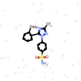 COc1ccccc1-c1nc(C(F)(F)F)nn1-c1ccc(S(N)(=O)=O)cc1